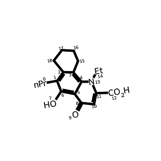 CCCc1c2c(c3c(c1O)c(=O)cc(C(=O)O)n3CC)CCCC2